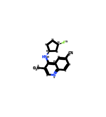 N#Cc1ccc2ncc([N+](=O)[O-])c(N[C@@H]3CC[C@H](F)C3)c2c1